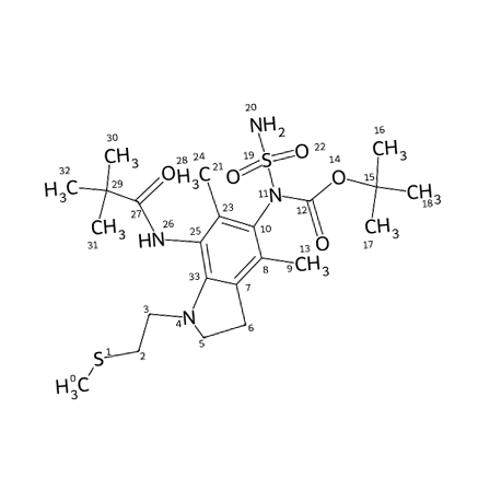 CSCCN1CCc2c(C)c(N(C(=O)OC(C)(C)C)S(N)(=O)=O)c(C)c(NC(=O)C(C)(C)C)c21